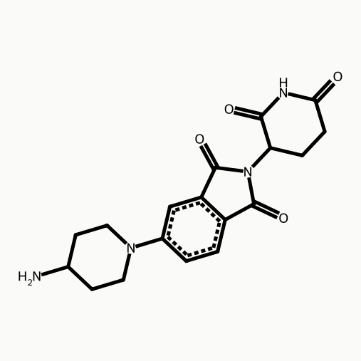 NC1CCN(c2ccc3c(c2)C(=O)N(C2CCC(=O)NC2=O)C3=O)CC1